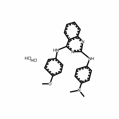 COc1ccc(Nc2nc(Nc3ccc(N(C)C)cc3)nc3ccccc23)cc1.Cl.Cl